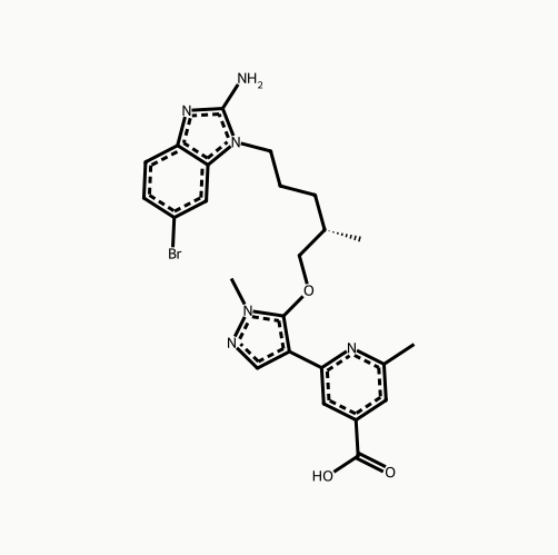 Cc1cc(C(=O)O)cc(-c2cnn(C)c2OC[C@@H](C)CCCn2c(N)nc3ccc(Br)cc32)n1